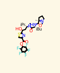 CC[C@H](C)[C@H](NC(=O)[C@@]1(C)CCCN1C)C(=O)N(C)[C@H](C[C@H](O)c1nc(C(=O)Oc2c(F)c(F)c(F)c(F)c2F)cs1)C(C)C